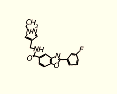 CCn1cc(CNC(=O)c2ccc3oc(-c4cccc(F)c4)nc3c2)cn1